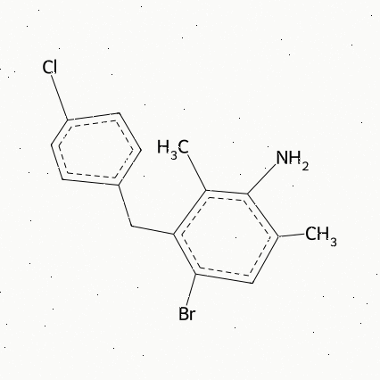 Cc1cc(Br)c(Cc2ccc(Cl)cc2)c(C)c1N